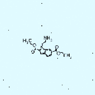 CCOC(=O)c1ccc2cc(C(=O)OCC)n(CCN)c2c1